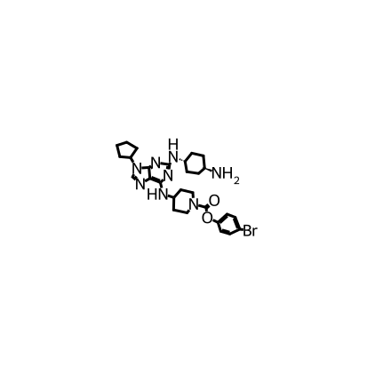 N[C@H]1CC[C@H](Nc2nc(NC3CCN(C(=O)Oc4ccc(Br)cc4)CC3)c3ncn(C4CCCC4)c3n2)CC1